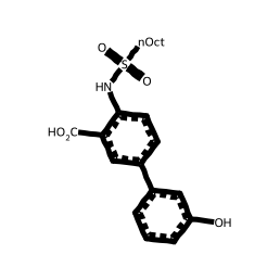 CCCCCCCCS(=O)(=O)Nc1ccc(-c2cccc(O)c2)cc1C(=O)O